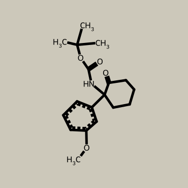 COc1cccc(C2(NC(=O)OC(C)(C)C)CCCCC2=O)c1